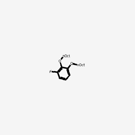 CCCCCCCCOc1cc[c]c(F)c1OCCCCCCCC